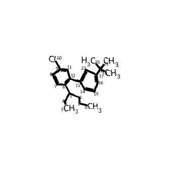 CCCC(CC)c1ccc(Cl)cc1-c1cccc(C(C)(C)C)c1